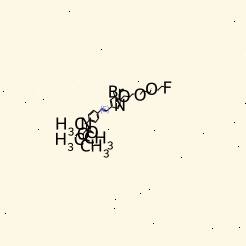 CN(C(=O)OC(C)(C)C)c1ccc(/C=C/c2cnc(OCCOCCOCCF)c(Br)c2)cc1